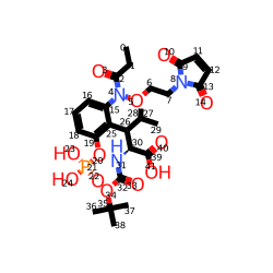 CCC(=O)N(OCCN1C(=O)C=CC1=O)c1cccc(OP(=O)(O)O)c1C(C(C)C)[C@@H](NC(=O)OC(C)(C)C)C(=O)O